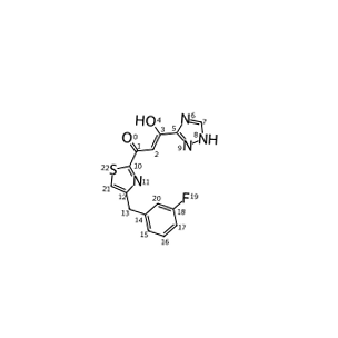 O=C(C=C(O)c1nc[nH]n1)c1nc(Cc2cccc(F)c2)cs1